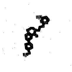 Nc1ccnc(OCCN2CCOc3ccc(-c4ccc(OC(F)(F)F)cc4)cc3C2=O)n1